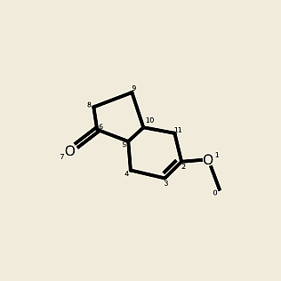 COC1=CCC2C(=O)CCC2C1